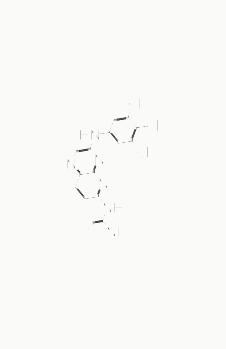 CCNC(=O)Nc1ccc2ncc(Nc3cc(Cl)c(Cl)c(Cl)c3)nc2n1